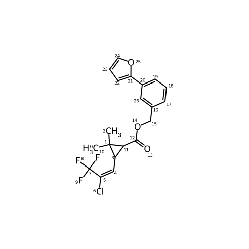 CC1(C)C(/C=C(/Cl)C(F)(F)F)C1C(=O)OCc1cccc(-c2ccco2)c1